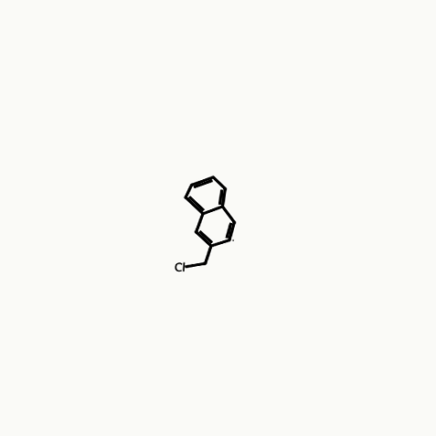 ClCc1[c]cc2ccccc2c1